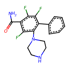 NC(=O)c1c(F)c(F)c(-c2ccccc2)c(N2CCNCC2)c1F